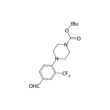 CC(C)(C)OC(=O)N1CCN(c2ccc(C=O)cc2C(F)(F)F)CC1